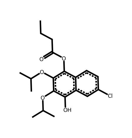 CCCC(=O)Oc1c(OC(C)C)c(OC(C)C)c(O)c2cc(Cl)ccc12